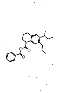 CCCc1cc2c(cc1C(C)CC)CCCN2C(=O)OC(=O)c1ccccc1